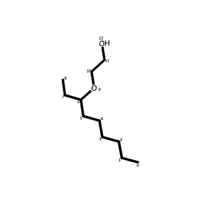 CCCCCCC(CC)OCCO